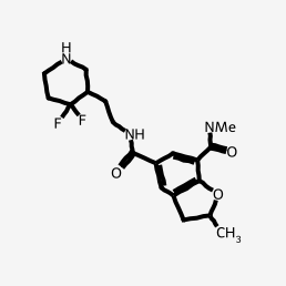 CNC(=O)c1cc(C(=O)NCCC2CNCCC2(F)F)cc2c1OC(C)C2